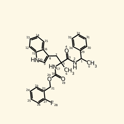 CC(NC(=O)C(C)(Cc1c[nH]c2ccccc12)NC(=O)OCc1ccccc1F)c1ccccc1